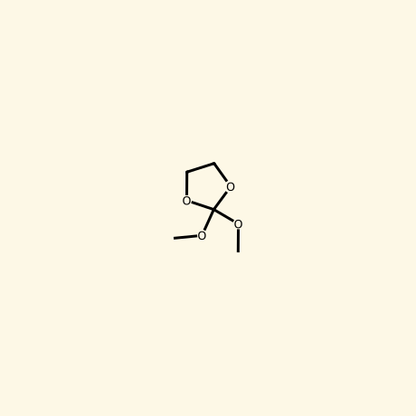 COC1(OC)OCCO1